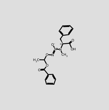 CC(ON=[N+]([O-])N(C)[C@@H](Cc1ccccc1)C(=O)O)OC(=O)c1ccccc1